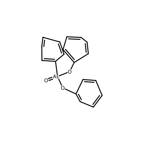 O=[As](Oc1ccccc1)(Oc1ccccc1)c1ccccc1